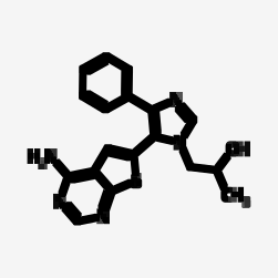 CC(O)Cn1cnc(-c2ccccc2)c1-c1cc2c(N)ncnc2s1